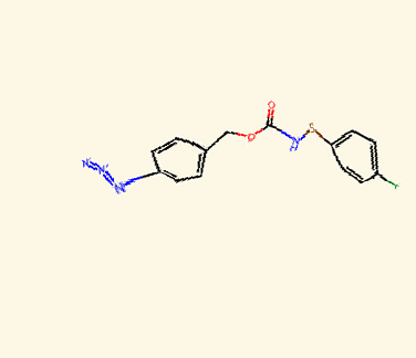 [N-]=[N+]=Nc1ccc(COC(=O)NSc2ccc(F)cc2)cc1